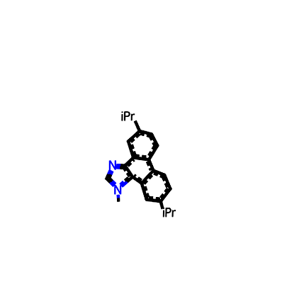 CC(C)c1ccc2c3ccc(C(C)C)cc3c3c(ncn3C)c2c1